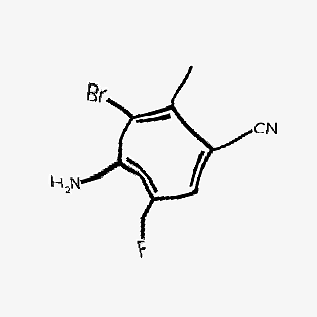 Cc1c(C#N)cc(F)c(N)c1Br